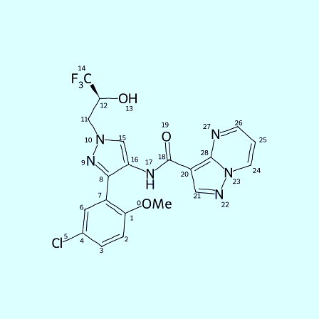 COc1ccc(Cl)cc1-c1nn(C[C@H](O)C(F)(F)F)cc1NC(=O)c1cnn2cccnc12